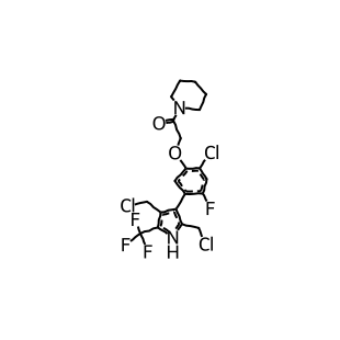 O=C(COc1cc(-c2c(CCl)[nH]c(C(F)(F)F)c2CCl)c(F)cc1Cl)N1CCCCC1